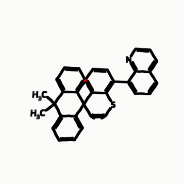 CC1(C)c2ccccc2C2(c3ccccc3Sc3c(-c4cccc5cccnc45)cccc32)c2ccccc21